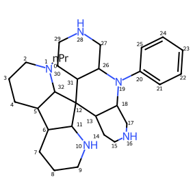 CCCN1CCCC2C3CCCNC3C3(C4CCNCC4N(c4ccccc4)C4CNCCC43)C21